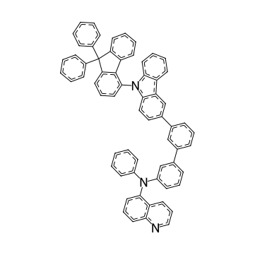 c1ccc(N(c2cccc(-c3cccc(-c4ccc5c(c4)c4ccccc4n5-c4cccc5c4-c4ccccc4C5(c4ccccc4)c4ccccc4)c3)c2)c2cccc3ncccc23)cc1